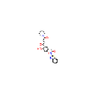 CC(=O)N(Oc1ccc(C(=O)/C=C/C(=O)N2CCCCC2)c(O)c1)c1nc2ccccc2s1